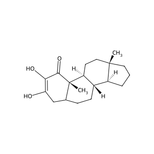 C[C@@]12CCC[C@H]1[C@@H]1CCC3CC(O)=C(O)C(=O)[C@]3(C)[C@H]1CC2